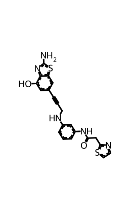 Nc1nc2c(O)cc(C#CCNc3cccc(NC(=O)Cc4nccs4)c3)cc2s1